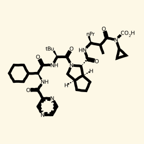 CCC[C@H](NC(=O)[C@@H]1[C@H]2CCC[C@H]2CN1C(=O)[C@@H](NC(=O)[C@@H](NC(=O)c1cnccn1)C1CCCCC1)C(C)(C)C)C(C)C(=O)N(C(=O)O)C1CC1